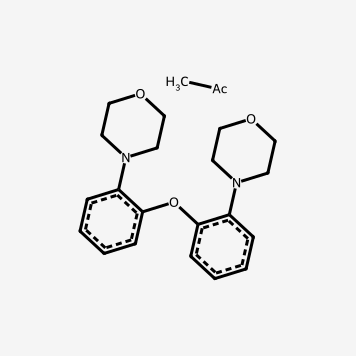 CC(C)=O.c1ccc(N2CCOCC2)c(Oc2ccccc2N2CCOCC2)c1